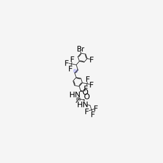 C[C@@H](NC(=O)c1ccc(/C=C/C(c2cc(F)cc(Br)c2)C(F)(F)F)cc1C(F)(F)F)C(=O)NCC(F)(F)F